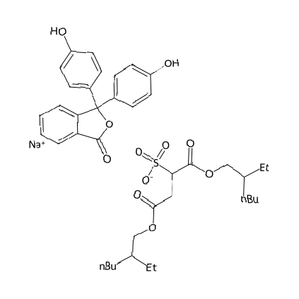 CCCCC(CC)COC(=O)CC(C(=O)OCC(CC)CCCC)S(=O)(=O)[O-].O=C1OC(c2ccc(O)cc2)(c2ccc(O)cc2)c2ccccc21.[Na+]